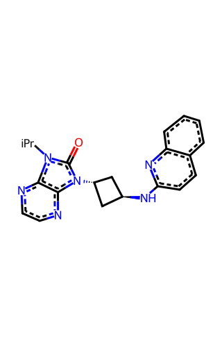 CC(C)n1c(=O)n([C@H]2C[C@H](Nc3ccc4ccccc4n3)C2)c2nccnc21